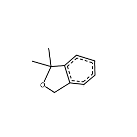 CC1(C)OCc2[c]cccc21